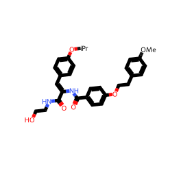 COc1ccc(CCOc2ccc(C(=O)N/C(=C\c3ccc(OC(C)C)cc3)C(=O)NCCO)cc2)cc1